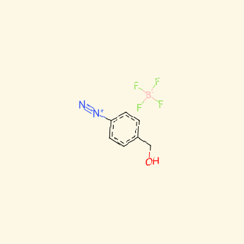 F[B-](F)(F)F.N#[N+]c1ccc(CO)cc1